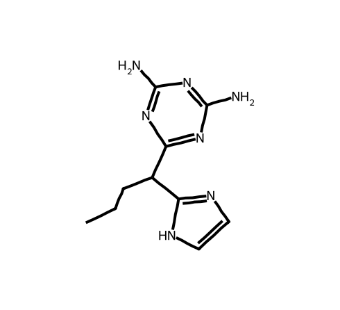 CCCC(c1nc(N)nc(N)n1)c1ncc[nH]1